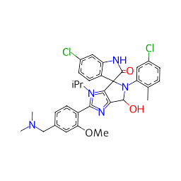 COc1cc(CN(C)C)ccc1-c1nc2c(n1C(C)C)C1(C(=O)Nc3cc(Cl)ccc31)N(c1cc(Cl)ccc1C)C2O